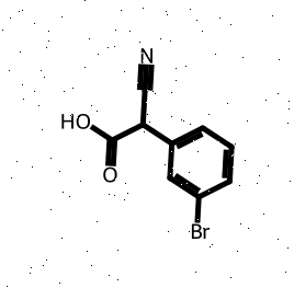 N#CC(C(=O)O)c1cccc(Br)c1